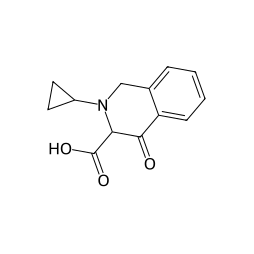 O=C(O)C1C(=O)c2ccccc2CN1C1CC1